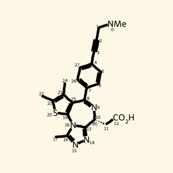 CNCC#Cc1ccc(C2=N[C@H](CC(=O)O)c3nnc(C)n3-c3sc(C)c(C)c32)cc1